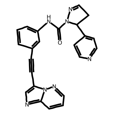 O=C(Nc1cccc(C#Cc2cnc3cccnn23)c1)N1N=CCC1c1ccncc1